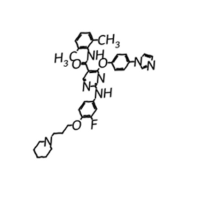 Cc1cccc(C)c1NC(=O)c1cnc(Nc2ccc(OCCCN3CCCCC3)c(F)c2)nc1Oc1ccc(-n2ccnc2)cc1